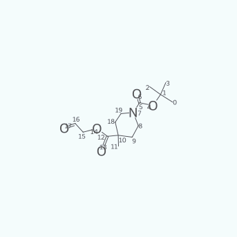 CC(C)(C)OC(=O)N1CCC(C)(C(=O)OCC=O)CC1